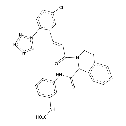 O=C(O)Nc1cccc(NC(=O)C2c3ccccc3CCN2C(=O)C=Cc2cc(Cl)ccc2-n2cnnn2)c1